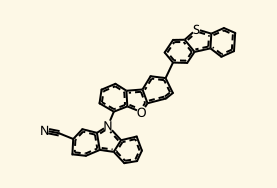 N#Cc1ccc2c3ccccc3n(-c3cccc4c3oc3ccc(-c5ccc6sc7ccccc7c6c5)cc34)c2c1